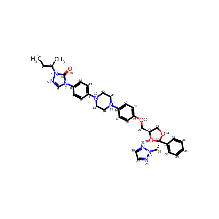 CC[C@@H](C)n1ncn(-c2ccc(N3CCN(c4ccc(OC[C@H]5CO[C@@](Cn6nccn6)(c6ccccc6)O5)cc4)CC3)cc2)c1=O